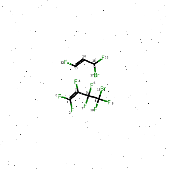 FC(F)=C(F)C(F)(F)C(F)(F)Br.FC=CC(F)Br